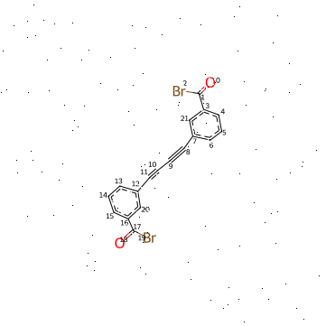 O=C(Br)c1cccc(C#CC#Cc2cccc(C(=O)Br)c2)c1